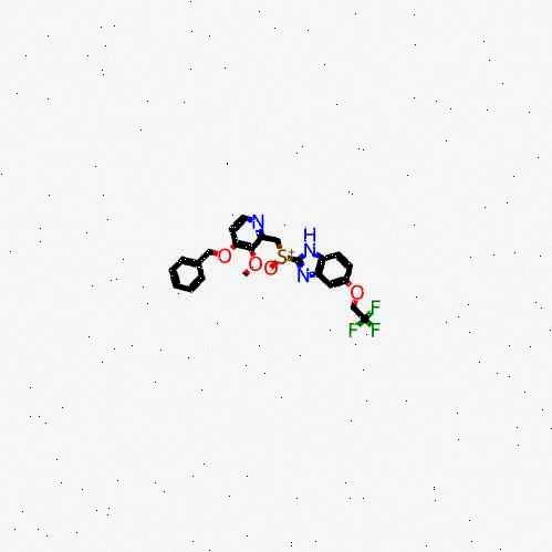 COc1c(OCc2ccccc2)ccnc1C[S+]([O-])c1nc2cc(OCC(F)(F)F)ccc2[nH]1